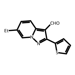 CCc1ccc2c(C=O)c(-c3cccs3)nn2c1